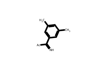 CC(=O)C(=N)c1cc(C)cc(C)c1